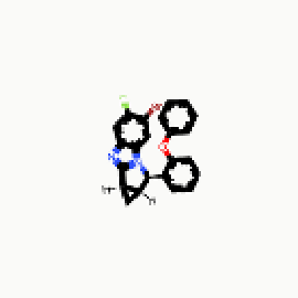 Fc1cc2nc3n(c2cc1Br)[C@@H](c1ccccc1Oc1ccccc1)[C@H]1C[C@@H]31